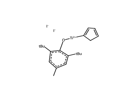 Cc1cc(C(C)(C)C)c([O][Ti+2][C]2=CC=CC2)c(C(C)(C)C)c1.[I-].[I-]